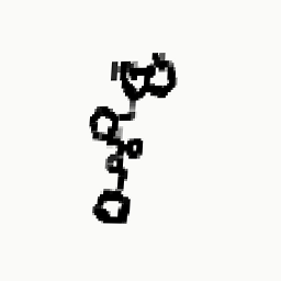 O=C(OCc1ccccc1)N1CCCC1Cc1c[nH]c2ncccc12